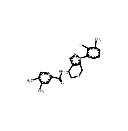 Cc1cnc(C(=O)N[C@H]2COCc3c2cnn3-c2cccc(C)c2Cl)cc1C